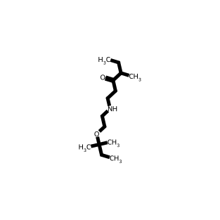 CCC(C)C(=O)CCNCCOC(C)(C)CC